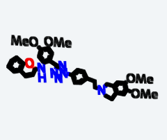 COc1cc2c(cc1OC)CN(CCc1ccc(-n3nnc(-c4cc(OC)c(OC)cc4NC(=O)/C=C\c4ccccc4)n3)cc1)CC2